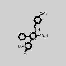 CCn1nc(-c2nc(C(=O)O)c(NCc3ccc(OC)cc3)nc2-c2ccccc2)ccc1=O